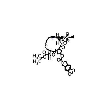 CC(C)OC(=O)N[C@H]1CCCCC/C=C\[C@@H]2C[C@@]2(C(=O)NS(=O)(=O)C2CC2)NC(=O)C2C[C@@H](OC(=O)N3Cc4cc5c(cc4C3)OCO5)CN2C1=O